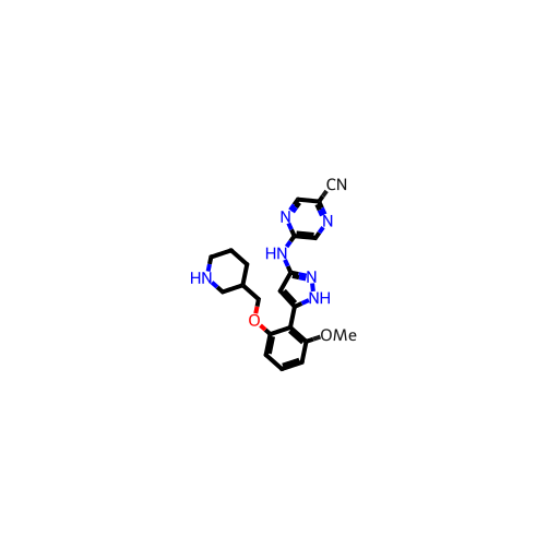 COc1cccc(OCC2CCCNC2)c1-c1cc(Nc2cnc(C#N)cn2)n[nH]1